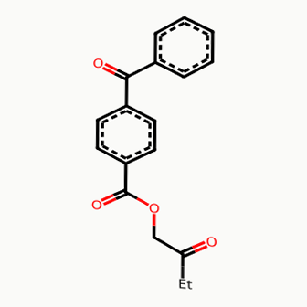 CCC(=O)COC(=O)c1ccc(C(=O)c2ccccc2)cc1